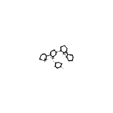 Cc1ccc(Nc2cc(-c3cccc4c3oc3ccccc34)ccc2-c2ccccc2)cc1